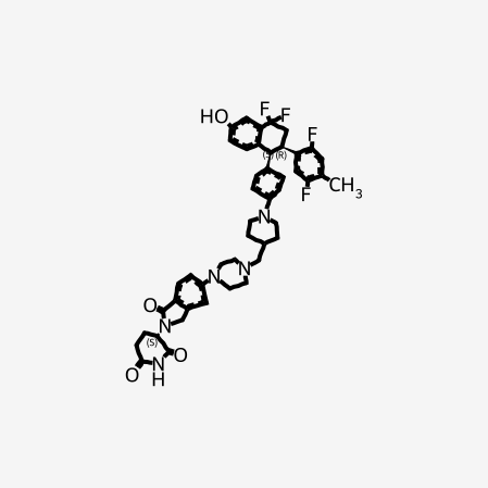 Cc1cc(F)c([C@@H]2CC(F)(F)c3cc(O)ccc3[C@@H]2c2ccc(N3CCC(CN4CCN(c5ccc6c(c5)CN([C@H]5CCC(=O)NC5=O)C6=O)CC4)CC3)cc2)cc1F